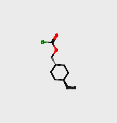 CCCCC[C@H]1CC[C@H](COC(=O)Cl)CC1